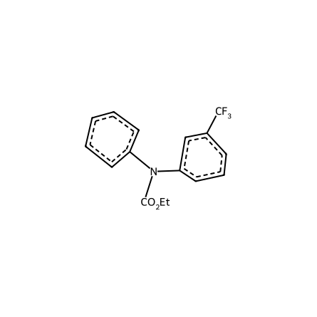 CCOC(=O)N(c1ccccc1)c1cccc(C(F)(F)F)c1